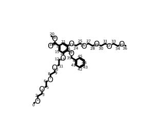 COCCOCCOCCOCCOc1cc(C(=O)OC)cc(OCCOCCOCCOCCOC)c1OCc1ccccc1